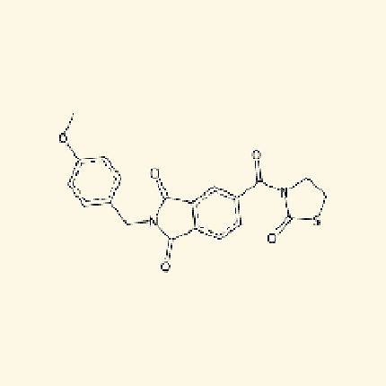 COc1ccc(CN2C(=O)c3ccc(C(=O)N4CCSC4=O)cc3C2=O)cc1